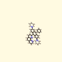 c1ccc(-c2c3cc(N4CCCCC4)ccc3c(-c3ccc4ccc5cccnc5c4n3)c3cc(N4CCCCC4)ccc23)cc1